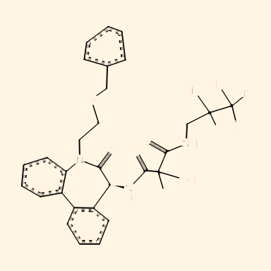 CC(O)(C(=O)NCC(F)(F)C(F)(F)F)C(=O)N[C@@H]1C(=O)N(CCOCc2ccccc2)c2ccccc2-c2ccccc21